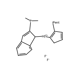 CCCC(C)C1=[C]([Hf+2][CH]2C(P(C)C)=Cc3ccccc32)CC=C1.[F-].[F-]